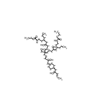 CCCN(CCNC(=O)OCC)CC(O)COCC(CC)(COCC(O)CN(CCC)CCNC(=O)OCC)COCC(O)CN1CCN(CC(O)COC)CC1